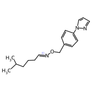 CC(C)CCC/C=N/OCc1ccc(-n2cccn2)cc1